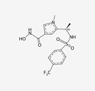 C[C@@H](NS(=O)(=O)c1ccc(C(F)(F)F)cc1)c1cc(C(=O)NO)cn1C